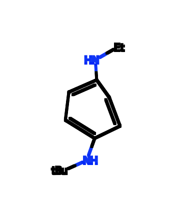 CCNc1ccc(NC(C)(C)C)cc1